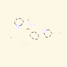 COCC(C)Oc1cc(C(=O)N[C@H](C)c2ccc(C)nc2)cc(-c2ccc(C)cn2)c1